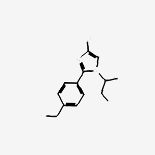 CC(CF)n1cc(C(F)(F)F)nc1-c1ccc(CO)cc1